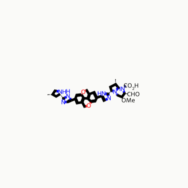 CO[C@H](CN1C[C@@H](C)C[C@H]1c1ncc(-c2cc3c4c(c2)OCc2cc(-c5cnc([C@@H]6C[C@H](C)CN6)[nH]5)cc(c2-4)OC3)[nH]1)[C@@H](C=O)NC(=O)O